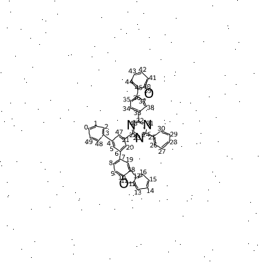 c1ccc(-c2cc(-c3ccc4oc5ccccc5c4c3)cc(-c3nc(-c4ccccc4)nc(-c4ccc5c(c4)oc4ccccc45)n3)c2)cc1